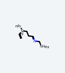 C=C[SiH](CCC)CCC=NCCCCCCC